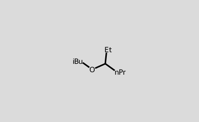 [CH2]CCC(CC)OC(C)CC